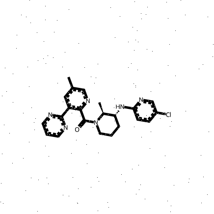 Cc1cnc(C(=O)N2CCC[C@@H](Nc3ccc(Cl)cn3)[C@@H]2C)c(-c2ncccn2)c1